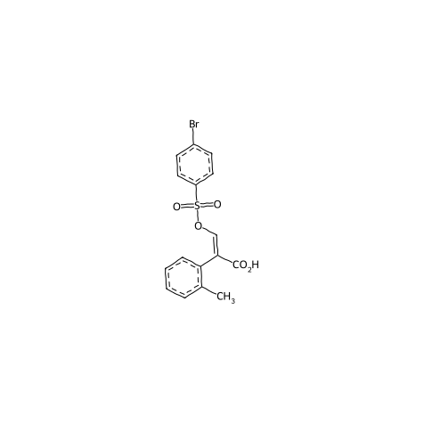 Cc1ccccc1/C(=C\OS(=O)(=O)c1ccc(Br)cc1)C(=O)O